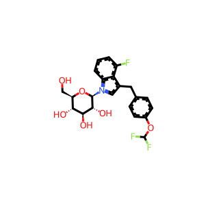 OC[C@H]1O[C@@H](n2cc(Cc3ccc(OC(F)F)cc3)c3c(F)cccc32)[C@H](O)[C@@H](O)[C@@H]1O